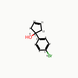 OC1(c2ccc(Br)cc2)CC=CC1